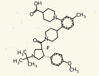 COc1ccc([C@@H]2CN(C(C)(C)C)C[C@@]2(F)C(=O)N2CCC(c3ccc(C)cc3N3CCC(C(=O)O)CC3)CC2)cc1